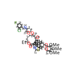 CC[C@H]1CCC[C@H](O[C@H]2CC[C@H](N(C)Cc3ccc(F)cc3Cl)C(C)O2)[C@@H](C)C(=O)C2=C[C@H]3[C@@H]4C[C@H](O[C@@H]5OC(C)[C@H](OC)C(OC)C5OC)C[C@H]4c4sc(C)nc4[C@H]3[C@@H]2CC(=O)O1